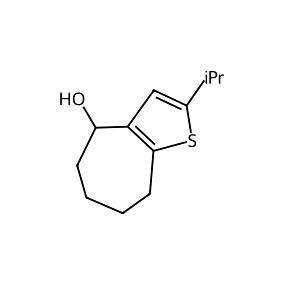 CC(C)c1cc2c(s1)CCCCC2O